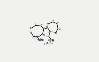 CCCC/C1=C/CCCCC(C2CCCCCC2CNCCC)C1